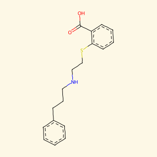 O=C(O)c1ccccc1SCCNCCCc1ccccc1